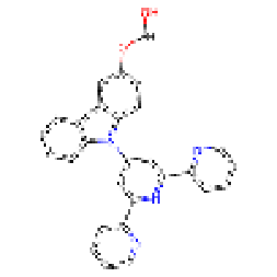 OBOc1ccc2c(c1)c1ccccc1n2-c1cc(-c2ccccn2)nc(-c2ccccn2)c1